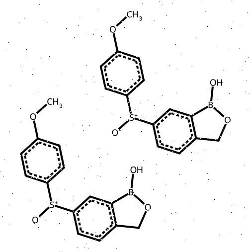 COc1ccc([S+]([O-])c2ccc3c(c2)B(O)OC3)cc1.COc1ccc([S+]([O-])c2ccc3c(c2)B(O)OC3)cc1